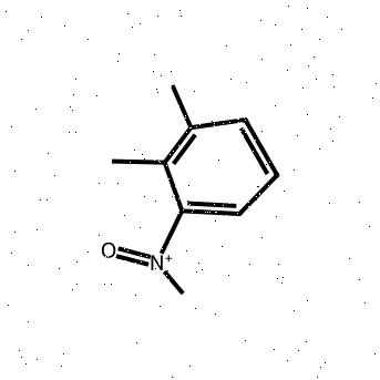 Cc1cccc([N+](C)=O)c1C